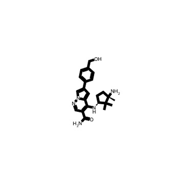 CC1(C)[C@H](Nc2c(C(N)=O)cnn3cc(-c4ccc(CO)cc4)cc23)CC[C@]1(C)N